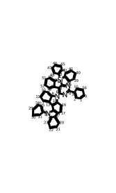 c1ccc(-c2nc(-n3c4ccccc4c4c3ccc3c5ccccc5n(-c5ccccc5)c34)c3c(n2)[Si](c2ccccc2)(c2ccccc2)c2ccccc2-3)cc1